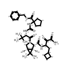 CC(C)(C)[C@H](NC(=O)NC1(C(=O)OCc2ccccc2)CCCC1)C(=O)N1C[C@H]2[C@@H]([C@H]1C(=O)NC(CC1CCC1)C(=O)C(N)=O)C2(C)C